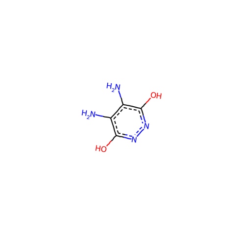 Nc1c(O)nnc(O)c1N